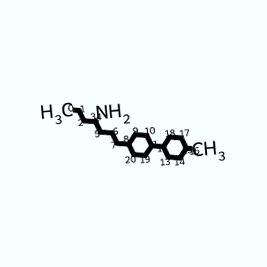 CCCC(N)CCCC1CCC(C2CCC(C)CC2)CC1